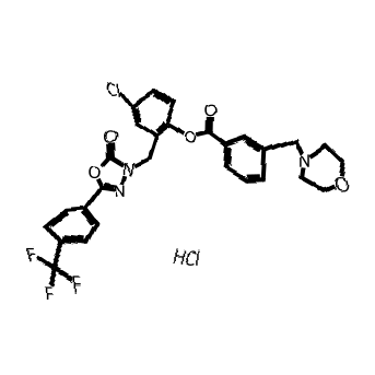 Cl.O=C(Oc1ccc(Cl)cc1Cn1nc(-c2ccc(C(F)(F)F)cc2)oc1=O)c1cccc(CN2CCOCC2)c1